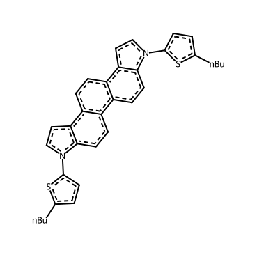 CCCCc1ccc(-n2ccc3c4ccc5c(ccc6c5ccn6-c5ccc(CCCC)s5)c4ccc32)s1